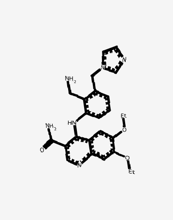 CCOc1cc2ncc(C(N)=O)c(Nc3cccc(Cn4ccnc4)c3CN)c2cc1OCC